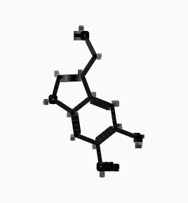 COc1cc2occ(CO)c2cc1Br